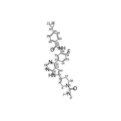 CN(C)C(=O)N1CC=C(c2cc3c(-c4ccc(F)c(NC(=O)c5ccc(C6CC6)cc5)c4)ncnc3[nH]2)CC1